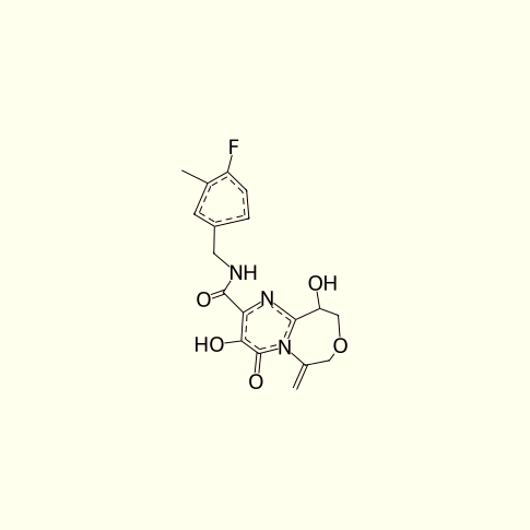 C=C1COCC(O)c2nc(C(=O)NCc3ccc(F)c(C)c3)c(O)c(=O)n21